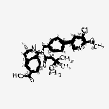 COc1ncc(-c2ccc(CN(C(=O)CC(C)(C)C)c3nccc4cc(C(=O)O)ccc34)cc2)cc1Cl